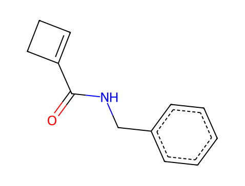 O=C(NCc1ccccc1)C1=CCC1